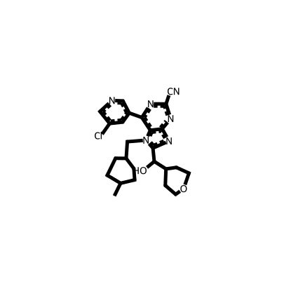 CC1CCC(Cn2c(C(O)C3CCOCC3)nc3nc(C#N)nc(-c4cncc(Cl)c4)c32)CC1